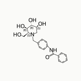 O=C(Nc1ccc(CN2C[C@H](O)[C@@H](O)[C@H](O)[C@@H]2CO)cc1)c1ccccc1